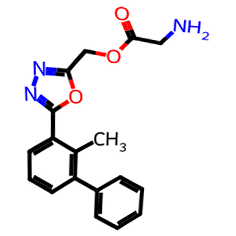 Cc1c(-c2ccccc2)cccc1-c1nnc(COC(=O)CN)o1